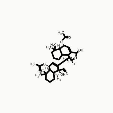 CC(=O)O[C@@H]1C=C(C2O[C@@H]3OC(O)C4=C[C@@H](OC(C)=O)[C@H]5C(C)(C)CCC[C@]5(C)[C@]43O2)[C@](O)(C=O)[C@@]2(C)CCCC(C)(C)[C@H]12